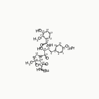 CCCOc1ccc(C[C@H](NC(=O)c2cccc(O)c2C)[C@H](O)C(=O)N2CSC(C)(C)C2C(=O)NC(C)(C)C)cc1